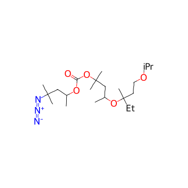 CCC(C)(CCOC(C)C)OC(C)CC(C)(C)OC(=O)OC(C)CC(C)(C)N=[N+]=[N-]